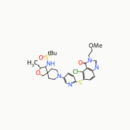 COCCn1cnc2ccc(Sc3ccc(N4CCC5(CC4)CO[C@@H](C)[C@H]5N[S+]([O-])C(C)(C)C)cn3)c(Cl)c2c1=O